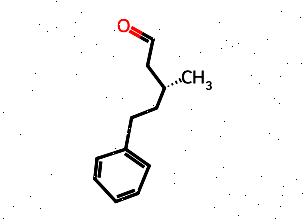 C[C@@H](CC=O)CCc1ccccc1